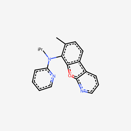 Cc1ccc2c(oc3ncccc32)c1N(c1ccccn1)C(C)C